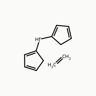 C1=CC[C]([Hf][C]2=CC=CC2)=C1.C=C